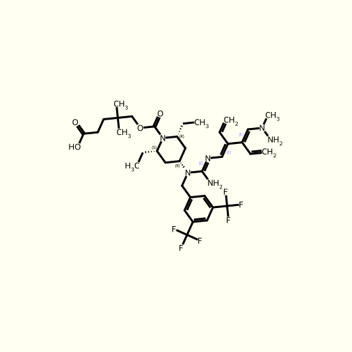 C=CC(=C\N=C(/N)N(Cc1cc(C(F)(F)F)cc(C(F)(F)F)c1)[C@H]1C[C@@H](CC)N(C(=O)OCC(C)(C)CCC(=O)O)[C@@H](CC)C1)/C(C=C)=C/N(C)N